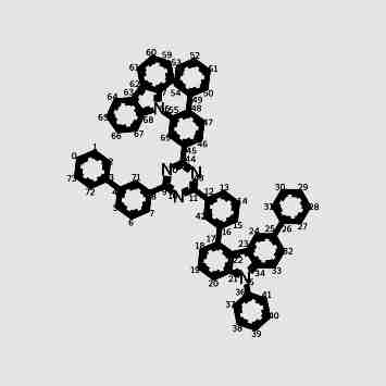 c1ccc(-c2cccc(-c3nc(-c4cccc(-c5cccc6c5c5cc(-c7ccccc7)ccc5n6-c5ccccc5)c4)nc(-c4ccc(-c5ccccc5)c(-n5c6ccccc6c6ccccc65)c4)n3)c2)cc1